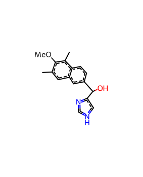 COc1c(C)cc2cc(C(O)c3c[nH]cn3)ccc2c1C